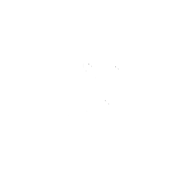 CC(=O)c1cc(N)c(N)cn1